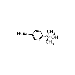 C#Cc1ccc([Si](C)(C)O)cc1